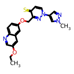 CCOc1cnc2ccc(OCc3nn(-c4cnn(C)c4)ccc3=S)cc2c1